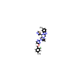 CC(=O)c1ccc2nc(CN3CCN(c4nccc(OCc5ccc(C#N)cc5F)n4)[C@H]4C[C@H]43)n(Cc3cncs3)c2c1